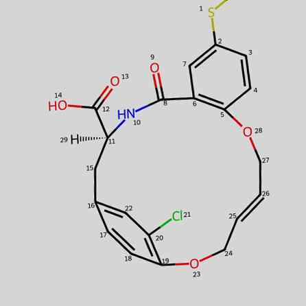 CSc1ccc2c(c1)C(=O)N[C@H](C(=O)O)Cc1ccc(c(Cl)c1)OC/C=C/CO2